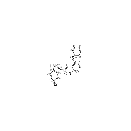 N#C/C(=C\c1cnccc1Sc1ccccc1)c1c[nH]c2ccc(Br)cc12